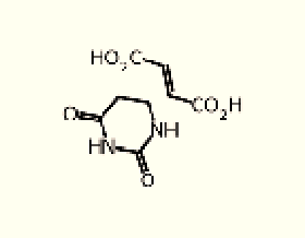 O=C(O)C=CC(=O)O.O=C1CCNC(=O)N1